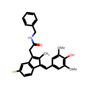 COc1cc(C=C2C(C)=C(CC(=O)NCc3ccccc3)c3cc(F)ccc32)cc(OC)c1O